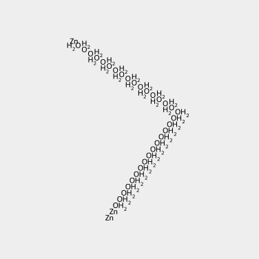 O.O.O.O.O.O.O.O.O.O.O.O.O.O.O.O.O.O.O.O.O.O.O.O.O.O.O.O.O.O.O.O.[Zn].[Zn].[Zn]